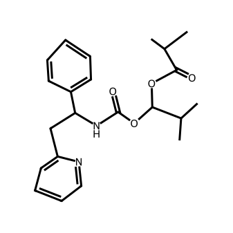 CC(C)C(=O)OC(OC(=O)NC(Cc1ccccn1)c1ccccc1)C(C)C